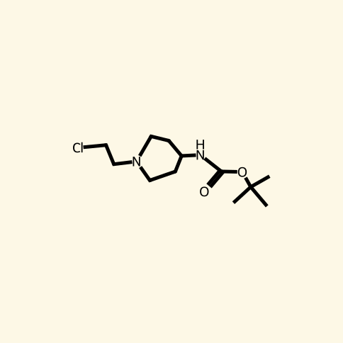 CC(C)(C)OC(=O)NC1CCN(CCCl)CC1